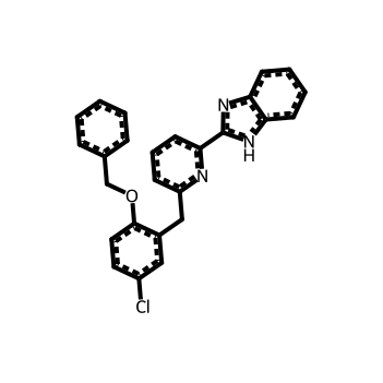 Clc1ccc(OCc2ccccc2)c(Cc2cccc(-c3nc4ccccc4[nH]3)n2)c1